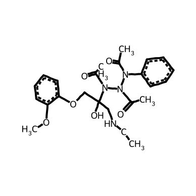 CCNCC(O)(COc1ccccc1OC)N(C(C)=O)N(C(C)=O)N(C(C)=O)c1ccccc1